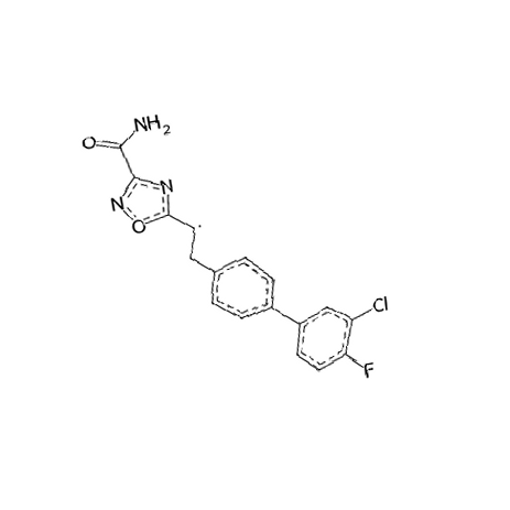 NC(=O)c1noc([CH]Cc2ccc(-c3ccc(F)c(Cl)c3)cc2)n1